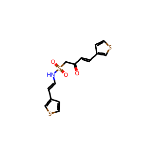 O=C(C=Cc1ccsc1)CS(=O)(=O)NC=Cc1ccsc1